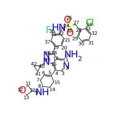 Nc1ncc(C2=CCC(NC3COC3)CC2)c2c1c(-c1ccc(NS(=O)(=O)Cc3ccccc3Cl)c(F)c1)nn2C1CC1